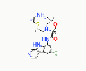 C=C(CN1CC(C)(C)OC[C@H]1C(=O)Nc1cc(Cl)cc2c1[nH]c1cnccc12)S/C=C\N